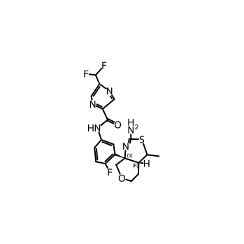 CC1SC(N)=N[C@@]2(c3cc(NC(=O)c4cnc(C(F)F)cn4)ccc3F)COCC[C@@H]12